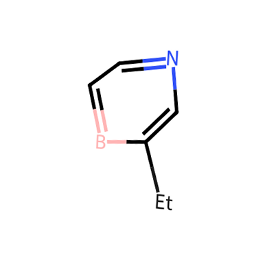 CCc1bccnc1